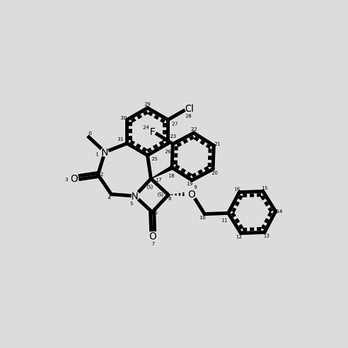 CN1C(=O)CN2C(=O)[C@@H](OCc3ccccc3)[C@@]2(c2ccccc2F)c2cc(Cl)ccc21